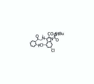 CCOC(=O)c1c(N(C)CC(=O)c2ccccc2F)c2c(Cl)cc(Cl)cc2n1C(=O)OC(C)(C)C